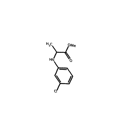 COC(=O)C(C)Nc1cccc(Cl)c1